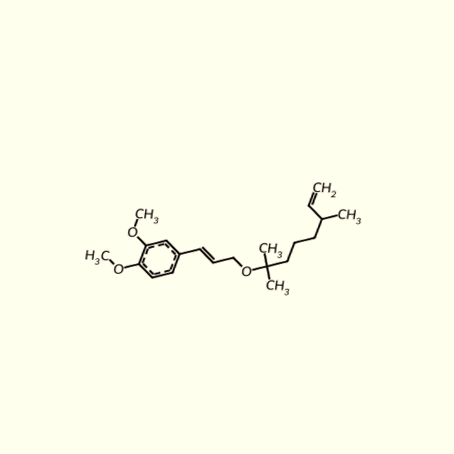 C=CC(C)CCCC(C)(C)OCC=Cc1ccc(OC)c(OC)c1